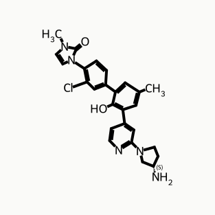 Cc1cc(-c2ccnc(N3CC[C@H](N)C3)c2)c(O)c(-c2ccc(-n3ccn(C)c3=O)c(Cl)c2)c1